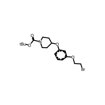 CC(C)(C)OC(=O)N1CCC(Oc2cccc(OCCBr)c2)CC1